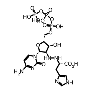 Nc1ccn([C@@H]2O[C@H](COP(=O)(O)OP(=O)(O)OP(=O)(O)O)[C@@H](O)[C@H]2NN[C@@H](Cc2c[nH]cn2)C(=O)O)c(=O)n1